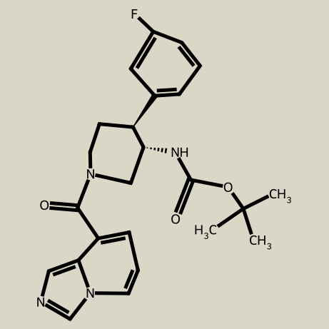 CC(C)(C)OC(=O)N[C@@H]1CN(C(=O)c2cccn3cncc23)CC[C@H]1c1cccc(F)c1